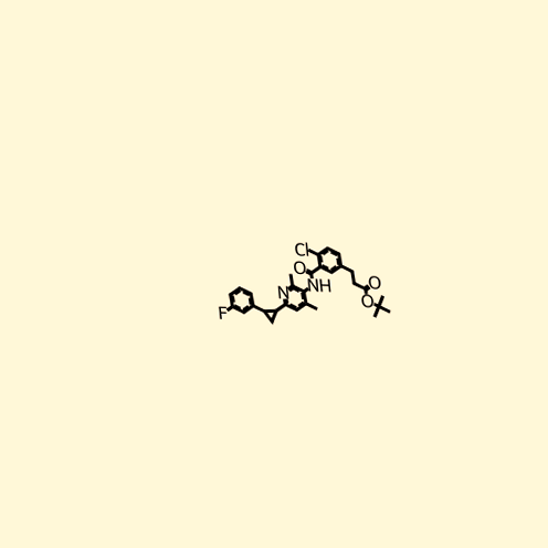 Cc1cc(C2CC2c2cccc(F)c2)nc(C)c1NC(=O)c1cc(CCC(=O)OC(C)(C)C)ccc1Cl